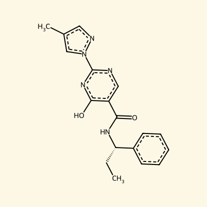 CC[C@H](NC(=O)c1cnc(-n2cc(C)cn2)nc1O)c1ccccc1